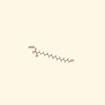 CCCCCCOC(=O)C(CC)CCCCCCCCCCCCCCCCO